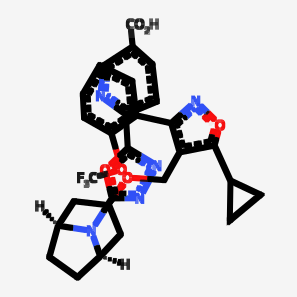 O=C(O)c1ccc(-c2nnc(N3[C@@H]4CC[C@H]3C[C@@H](OCc3c(-c5ccccc5OC(F)(F)F)noc3C3CC3)C4)o2)nc1